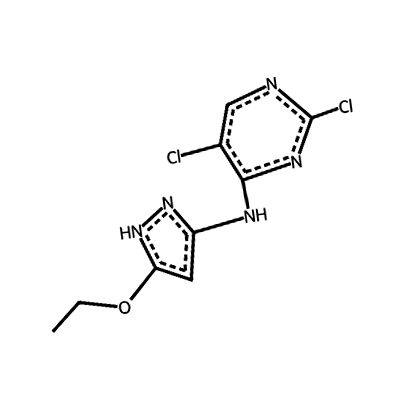 CCOc1cc(Nc2nc(Cl)ncc2Cl)n[nH]1